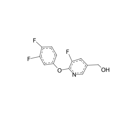 OCc1cnc(Oc2ccc(F)c(F)c2)c(F)c1